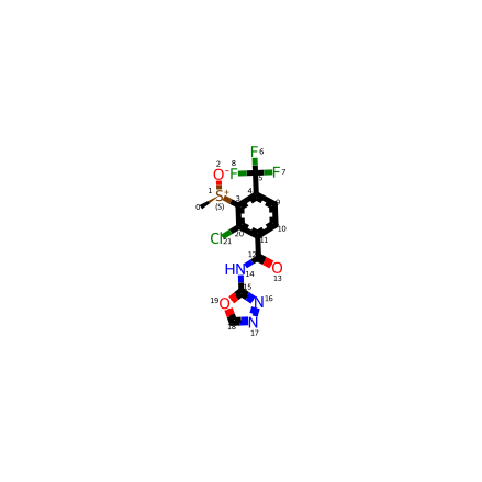 C[S@@+]([O-])c1c(C(F)(F)F)ccc(C(=O)Nc2nnco2)c1Cl